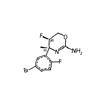 C[C@]1(c2cc(Br)ccc2F)N=C(N)OC[C@@H]1F